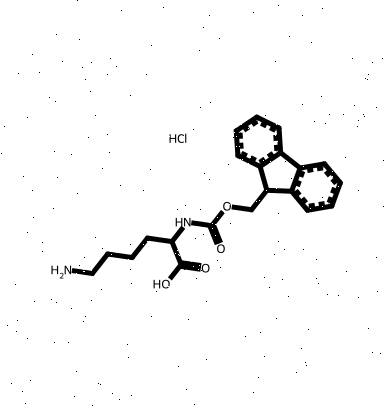 Cl.NCCCCC(NC(=O)OCC1c2ccccc2-c2ccccc21)C(=O)O